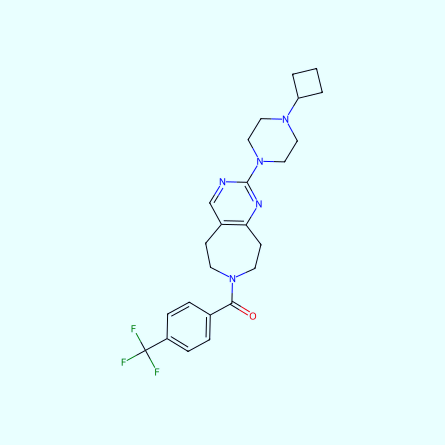 O=C(c1ccc(C(F)(F)F)cc1)N1CCc2cnc(N3CCN(C4CCC4)CC3)nc2CC1